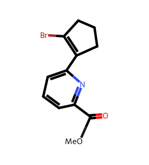 COC(=O)c1cccc(C2=C(Br)CCC2)n1